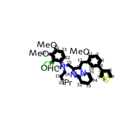 COc1ccc(-c2ccsc2)cc1CC1C(C[N+](C=O)(CCC(C)C)c2ccc(OC)c(OC)c2Cl)N=C2C=CC=CN21